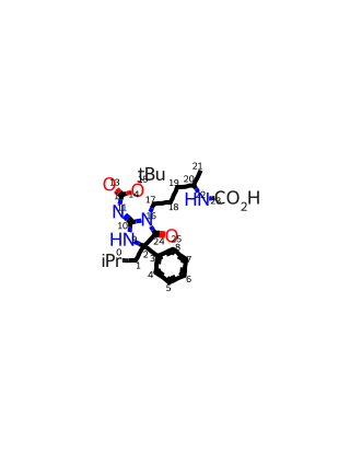 CC(C)CC1(c2ccccc2)NC(=NC(=O)OC(C)(C)C)N(CCCC(C)NC(=O)O)C1=O